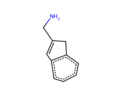 NCC1=Cc2ccccc2C1